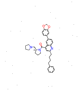 O=C(c1cc(CCCCc2ccccc2)nc2ccc(-c3ccc4c(c3)OCO4)cc12)N1CCC[C@H]1CN1CCCC1